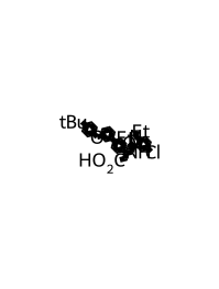 CCN(CC)c1ccc(Cl)cc1C(=O)NC(CC(=O)O)c1ccc(-c2cccc(Oc3ccc(C(C)(C)C)cc3)c2)cc1